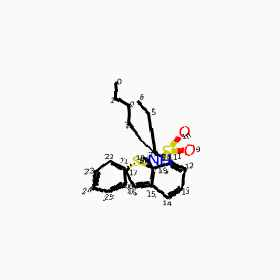 CCCC[C@@]1(CC)CS(=O)(=O)C2=CC=CC3=CCSC32[C@H](c2ccccc2)N1